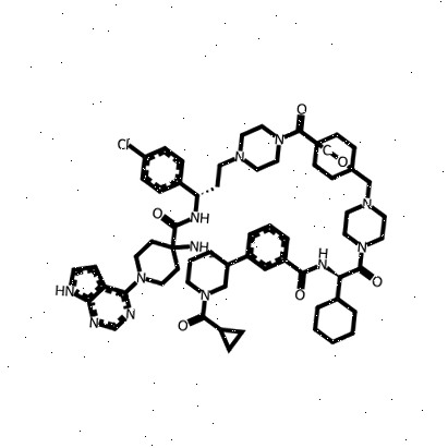 NC1(C(=O)N[C@@H](CCN2CCN(C(=O)C34CCC(CN5CCN(C(=O)[C@H](NC(=O)c6cccc(C7CCCN(C(=O)C8CC8)C7)c6)C6CCCCC6)CC5)(CC3)OC4)CC2)c2ccc(Cl)cc2)CCN(c2ncnc3[nH]ccc23)CC1